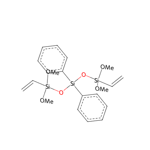 C=C[Si](OC)(OC)O[Si](O[Si](C=C)(OC)OC)(c1ccccc1)c1ccccc1